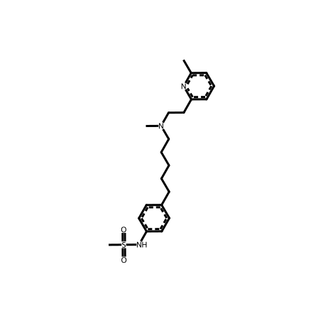 Cc1cccc(CCN(C)CCCCCc2ccc(NS(C)(=O)=O)cc2)n1